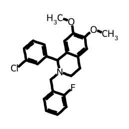 COc1cc2c(cc1OC)C(c1cccc(Cl)c1)N(Cc1ccccc1F)CC2